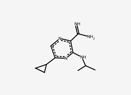 CC(C)Nc1nc(C2CC2)cnc1C(=N)N